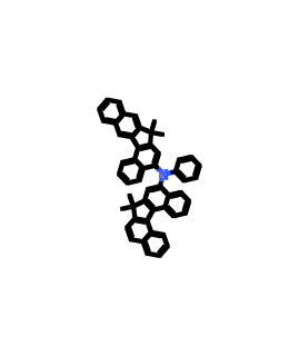 CC1(C)c2cc3ccccc3cc2-c2c1cc(N(c1ccccc1)c1cc3c(c4ccccc14)-c1c(ccc4ccccc14)C3(C)C)c1ccccc21